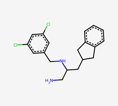 NCC(CC1Cc2ccccc2C1)NCc1cc(Cl)cc(Cl)c1